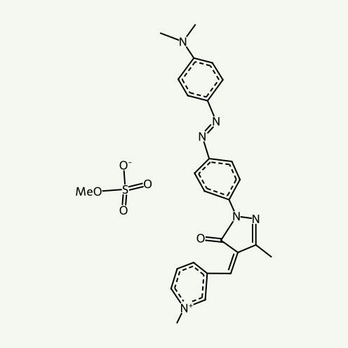 CC1=NN(c2ccc(N=Nc3ccc(N(C)C)cc3)cc2)C(=O)C1=Cc1ccc[n+](C)c1.COS(=O)(=O)[O-]